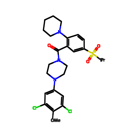 COc1c(Cl)cc(N2CCN(C(=O)c3cc(S(=O)(=O)C(C)C)ccc3N3CCCCC3)CC2)cc1Cl